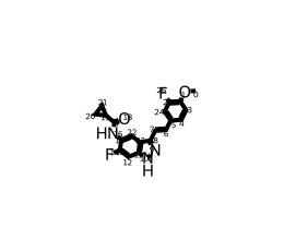 COc1ccc(/C=C/c2n[nH]c3cc(F)c(NC(=O)C4CC4)cc23)cc1F